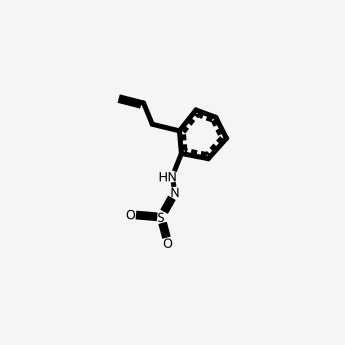 C=CCc1ccccc1NN=S(=O)=O